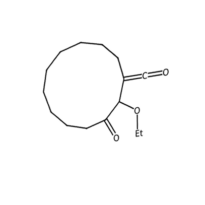 CCOC1C(=O)CCCCCCCCCC1=C=O